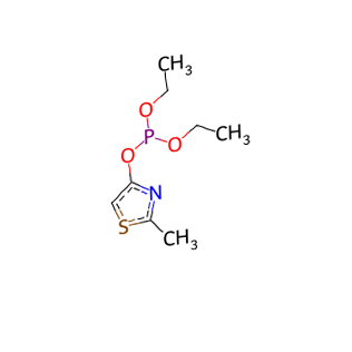 CCOP(OCC)Oc1csc(C)n1